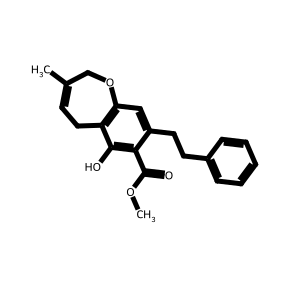 COC(=O)c1c(CCc2ccccc2)cc2c(c1O)CC=C(C)CO2